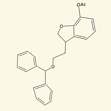 CC(=O)Oc1cccc2c1OCC2CCOC(c1ccccc1)c1ccccc1